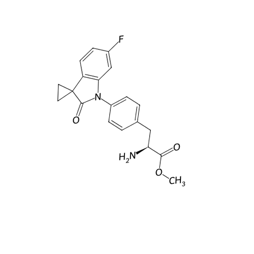 COC(=O)[C@@H](N)Cc1ccc(N2C(=O)C3(CC3)c3ccc(F)cc32)cc1